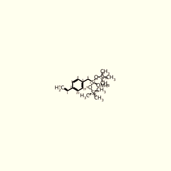 C=Cc1ccc(C[Si](OC)(O[Si](C)(C)C)O[Si](C)(C)C)cc1